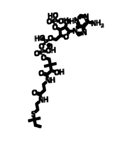 CCC(C)(C)SCCNC(=O)CCNC(=O)C(O)C(C)(C)COP(=O)(O)OP(=O)(O)OCC1OC(n2cnc3c(N)ncnc32)C(O)C1OP(=O)(O)O